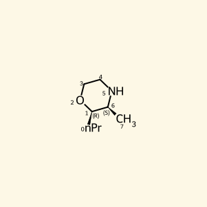 CCC[C@H]1OCCN[C@H]1C